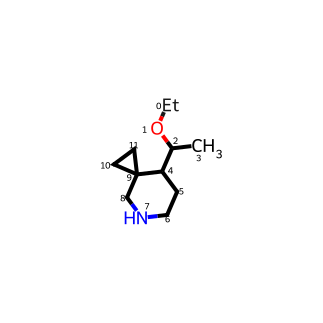 CCOC(C)C1CCNCC12CC2